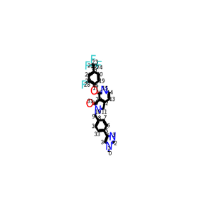 Cn1cnc(-c2ccc(CN3Cc4ccnc(Oc5ccc(C(F)(F)F)cc5F)c4C3=O)cc2)c1